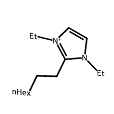 CCCCCCCCc1n(CC)cc[n+]1CC